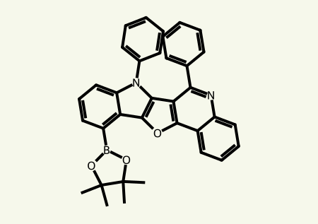 CC1(C)OB(c2cccc3c2c2oc4c5ccccc5nc(-c5ccccc5)c4c2n3-c2ccccc2)OC1(C)C